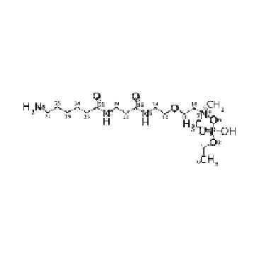 CCOP(=O)(O)O[N+](C)(C)CCOCCNC(=O)CCNC(=O)CCCCCN